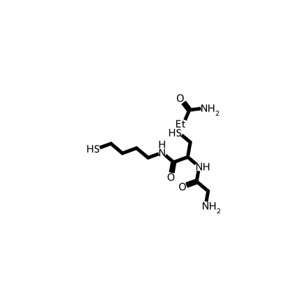 CCC(N)=O.NCC(=O)NC(CS)C(=O)NCCCCS